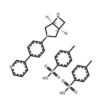 Cc1ccc(S(=O)(=O)O)cc1.Cc1ccc(S(=O)(=O)O)cc1.c1cncc(-c2ccc(N3C[C@@H]4CN[C@@H]4C3)cc2)c1